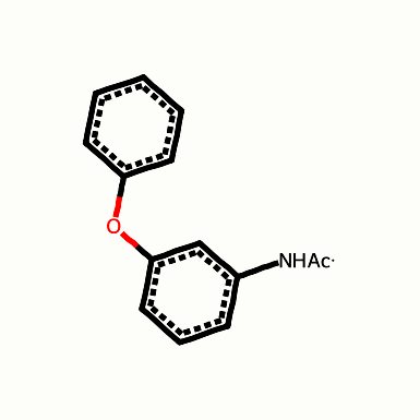 CC(=O)[N]c1cccc(Oc2ccccc2)c1